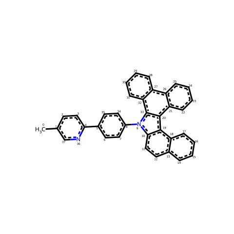 Cc1ccc(-c2ccc(-n3c4ccc5ccccc5c4c4c5ccccc5c5ccccc5c43)cc2)nc1